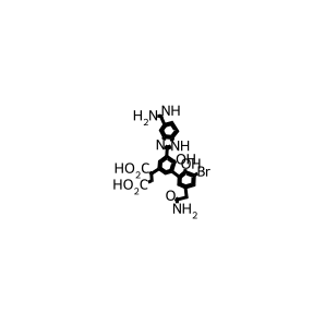 N=C(N)c1ccc2[nH]c(-c3cc(C(CC(=O)O)C(=O)O)cc(-c4cc(CC(N)=O)cc(Br)c4O)c3O)nc2c1